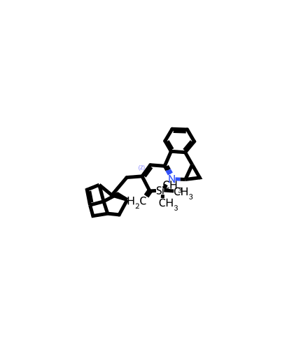 C=C(/C(=C\C1=NC2CC2c2ccccc21)CC1C2CC3CC4=CC1C43C2)[Si](C)(C)C